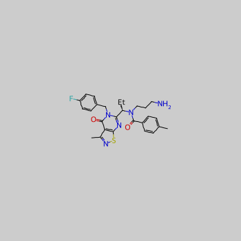 CC[C@H](c1nc2snc(C)c2c(=O)n1Cc1ccc(F)cc1)N(CCCN)C(=O)c1ccc(C)cc1